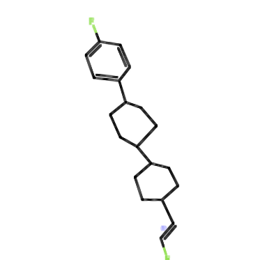 F/C=C/C1CCC(C2CCC(c3ccc(F)cc3)CC2)CC1